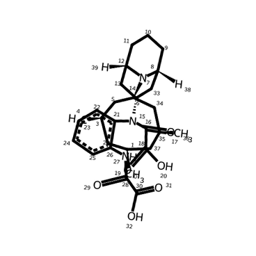 C[C@H]1C[C@@H](C)C[C@@H](N2[C@@H]3CCC[C@H]2C[C@@H](N(C(=O)C(=O)O)c2ccccc2NC(=O)C(=O)O)C3)C[C@@H](C)C1